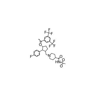 C[C@H](OC1CCC(CN2CCC(C(=O)NS(C)(=O)=O)CC2)C1c1ccc(F)cc1)c1cc(C(F)(F)F)cc(C(F)(F)F)c1